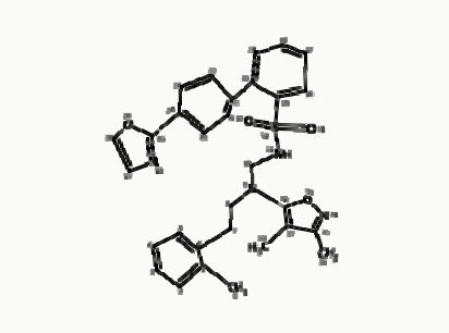 Cc1ccccc1CCN(CNS(=O)(=O)c1ccccc1-c1ccc(-c2ncco2)cc1)c1onc(C)c1C